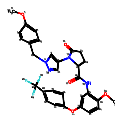 COc1ccc(Cn2cc(N3C(=O)CCC3C(=O)Nc3cc(Oc4ccc(C(F)(F)F)cc4)ccc3OC)cn2)cc1